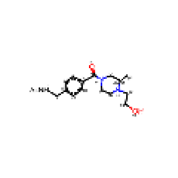 CC(=O)NCc1ccc(C(=O)N2CCN(CCO)[C@H](C)C2)cc1